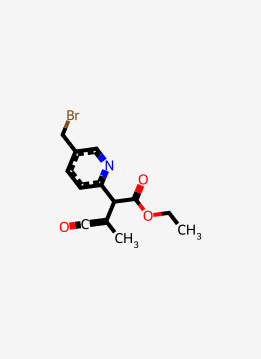 CCOC(=O)C(C(C)=C=O)c1ccc(CBr)cn1